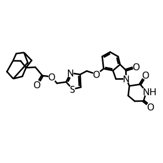 O=C1CCC(N2Cc3c(OCc4csc(COC(=O)CC56CC7CC(CC(C7)C5)C6)n4)cccc3C2=O)C(=O)N1